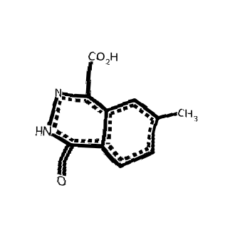 Cc1ccc2c(=O)[nH]nc(C(=O)O)c2c1